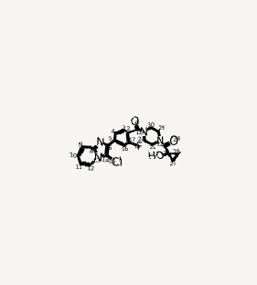 O=C(c1ccc(-c2nc3ccccn3c2Cl)cc1F)N1CCN(C(=O)C2(O)CC2)CC1